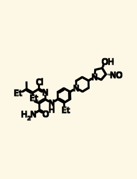 CC/C(C)=C(CC)/C(Cl)=N\C(Nc1ccc(N2CCC(N3C[C@@H](O)[C@H](N=O)C3)CC2)cc1CC)=C(/C)C(N)=O